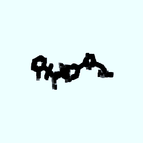 CNCc1csc(-c2cnc(NC(C)(C)c3ncccc3F)nc2)n1